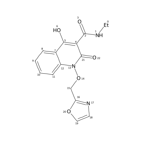 CCNC(=O)c1c(O)c2ccccc2n(OCc2ncco2)c1=O